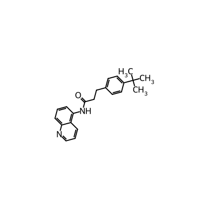 CC(C)(C)c1ccc(CCC(=O)Nc2cccc3ncccc23)cc1